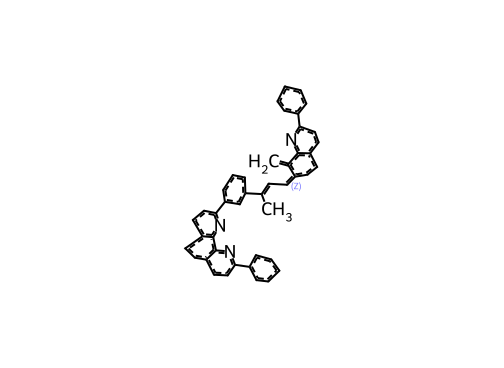 C=c1/c(=C\C=C(C)c2cccc(-c3ccc4ccc5ccc(-c6ccccc6)nc5c4n3)c2)ccc2ccc(-c3ccccc3)nc12